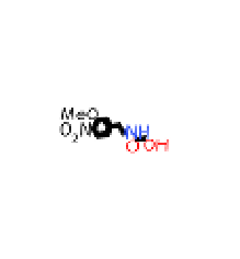 COc1cc(CCNC(=O)CO)ccc1[N+](=O)[O-]